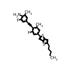 CCCCCc1cc2sc(-c3cc(C)c(C#Cc4cc(C)c(N)c(F)c4)c(F)c3)cc2s1